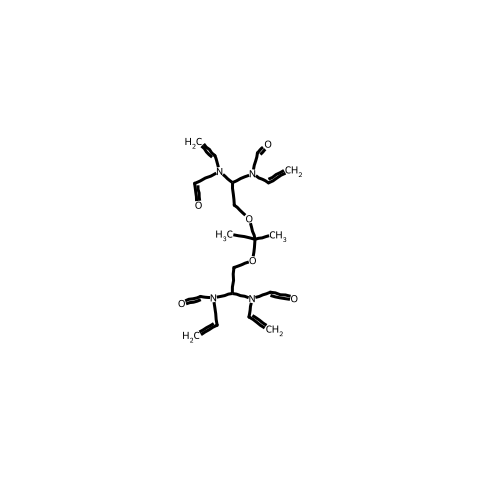 C=CN(C=O)C(COC(C)(C)OCC(N(C=C)C=O)N(C=C)C=O)N(C=C)C=O